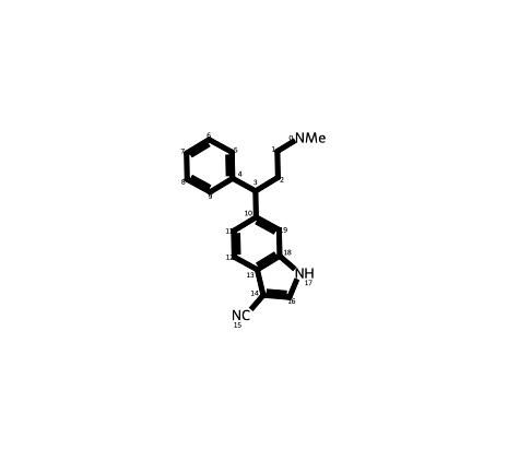 CNCCC(c1ccccc1)c1ccc2c(C#N)c[nH]c2c1